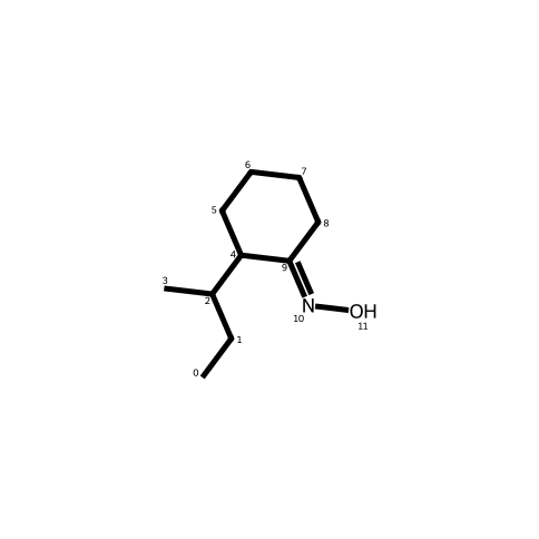 CCC(C)C1CCCCC1=NO